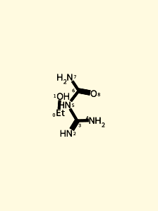 CCO.N=C(N)NC(N)=O